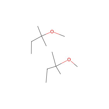 CCC(C)(C)OC.CCC(C)(C)OC